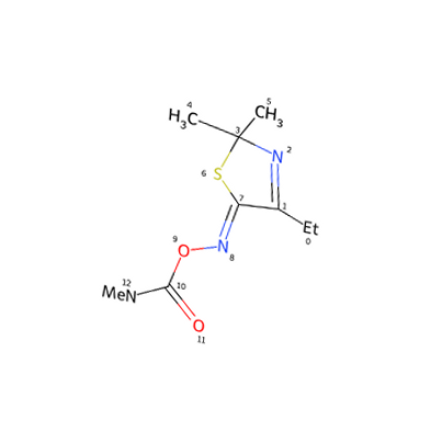 CCC1=NC(C)(C)SC1=NOC(=O)NC